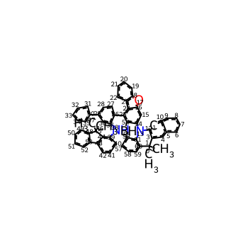 CC1(C)c2cc3ccccc3cc2N2c3cc4oc5ccccc5c4c(-c4ccc(-c5ccccc5)cc4Nc4cccc5c4C(C)(C)c4ccccc4-5)c3Bc3cccc1c32